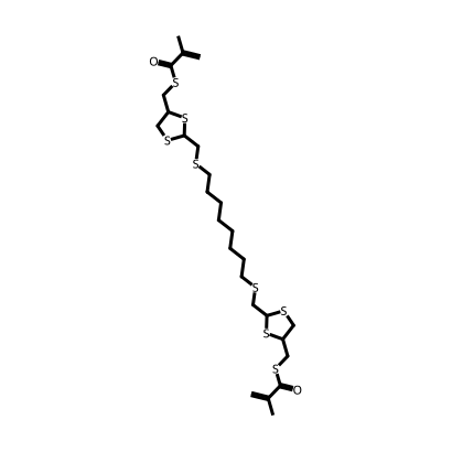 C=C(C)C(=O)SCC1CSC(CSCCCCCCCCSCC2SCC(CSC(=O)C(=C)C)S2)S1